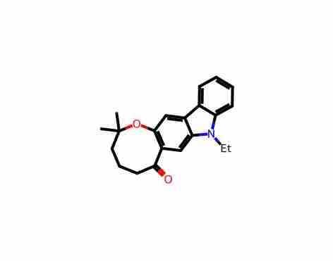 CCn1c2ccccc2c2cc3c(cc21)C(=O)CCCC(C)(C)O3